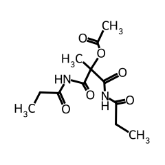 CCC(=O)NC(=O)C(C)(OC(C)=O)C(=O)NC(=O)CC